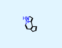 C1=CC2=C(C=CN3NCC=C23)C1